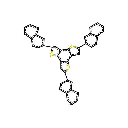 c1ccc2cc(-c3cc4c(s3)c3cc(-c5ccc6ccccc6c5)sc3c3cc(-c5ccc6ccccc6c5)sc43)ccc2c1